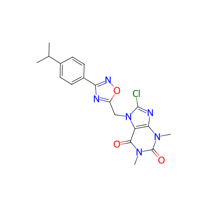 CC(C)c1ccc(-c2noc(Cn3c(Cl)nc4c3c(=O)n(C)c(=O)n4C)n2)cc1